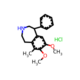 COc1cc2c(c(C)c1OC)CCNCC2c1ccccc1.Cl